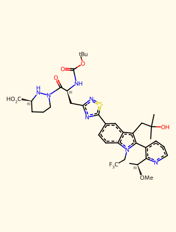 CO[C@@H](C)c1ncccc1-c1c(CC(C)(C)O)c2cc(-c3nc(C[C@H](NC(=O)OC(C)(C)C)C(=O)N4CCC[C@@H](C(=O)O)N4)ns3)ccc2n1CC(F)(F)F